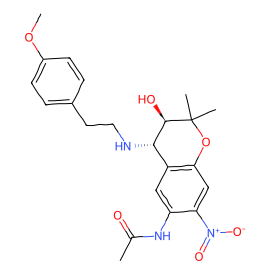 COc1ccc(CCN[C@H]2c3cc(NC(C)=O)c([N+](=O)[O-])cc3OC(C)(C)[C@@H]2O)cc1